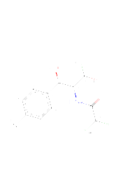 O=C(N[C@H](C(O)Cl)[C@H](O)c1ccc([N+](=O)[O-])cc1)C(Cl)Cl